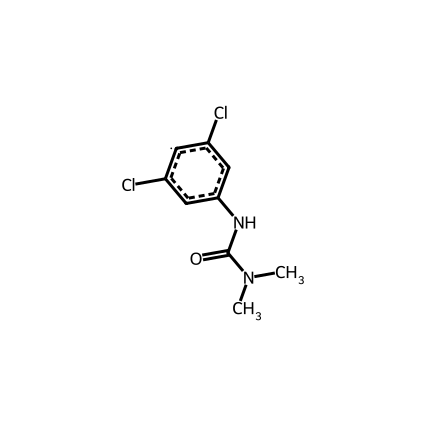 CN(C)C(=O)Nc1cc(Cl)[c]c(Cl)c1